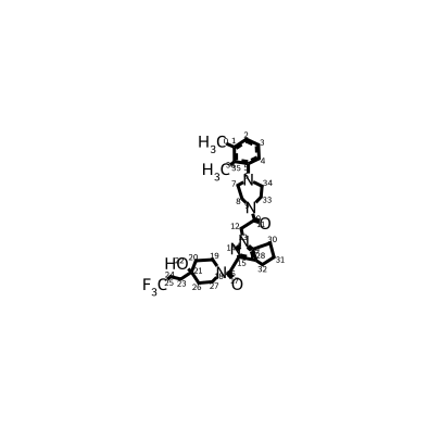 Cc1cccc(N2CCN(C(=O)Cn3nc(C(=O)N4CCC(O)(CCC(F)(F)F)CC4)c4c3CCC4)CC2)c1C